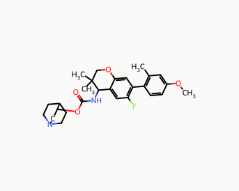 COc1ccc(-c2cc3c(cc2F)C(NC(=O)OC2CN4CCC2CC4)C(C)(C)CO3)c(C)c1